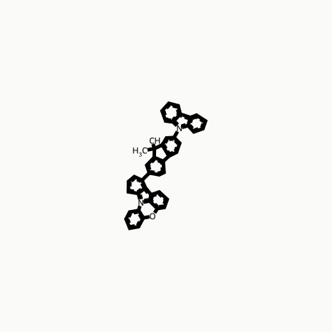 CC1(C)c2cc(-c3cccc4c3c3cccc5c3n4-c3ccccc3O5)ccc2-c2ccc(-n3c4ccccc4c4ccccc43)cc21